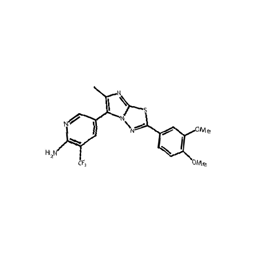 COc1ccc(-c2nn3c(-c4cnc(N)c(C(F)(F)F)c4)c(C)nc3s2)cc1OC